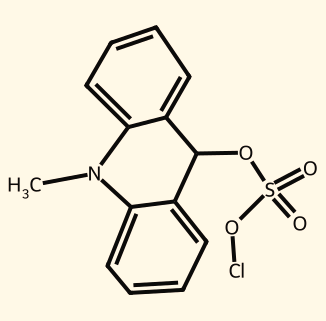 CN1c2ccccc2C(OS(=O)(=O)OCl)c2ccccc21